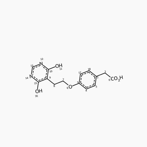 O=C(O)Cc1ccc(OCCc2c(O)ncnc2O)cc1